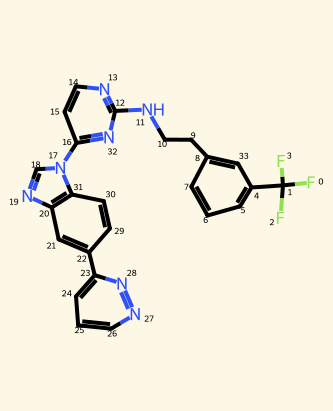 FC(F)(F)c1cccc(CCNc2nccc(-n3cnc4cc(-c5cccnn5)ccc43)n2)c1